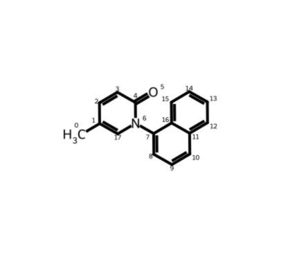 Cc1ccc(=O)n(-c2cccc3ccccc23)c1